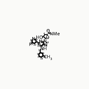 CNC(=O)[C@@H]1C[C@@H](O)[C@H](n2cnc3c(NCc4cccc(C)c4)nc(-c4cncc(F)c4)nc32)O1